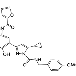 COc1ccc(CNC(=O)n2nc(-c3cc(NC(=O)c4ccco4)ccc3O)cc2C2CC2)cc1